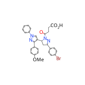 COc1ccc(-c2nn(-c3ccccc3)cc2C2CC(c3ccc(Br)cc3)=NN2C(=O)CCC(=O)O)cc1